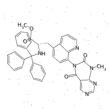 COC(=O)[C@H](Cc1ccc(-n2c(=O)c3cncnc3n(C)c2=O)c2ncccc12)NC(c1ccccc1)(c1ccccc1)c1ccccc1